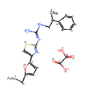 COC(CNC(N)=Nc1nc(-c2ccc(CNC(C)=O)o2)cs1)c1ccccc1.O=C(O)C(=O)O